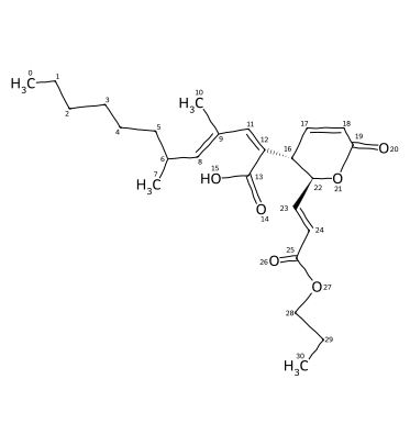 CCCCCCC(C)C=C(C)C=C(C(=O)O)[C@@H]1C=CC(=O)O[C@H]1C=CC(=O)OCCC